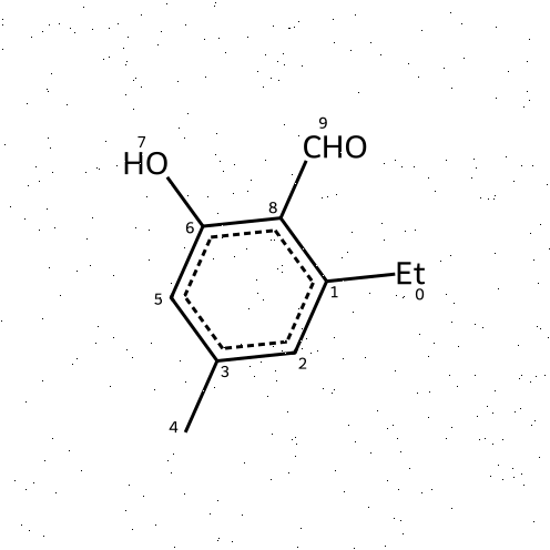 CCc1cc(C)cc(O)c1C=O